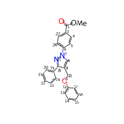 COC(=O)c1ccc(-n2cc(COc3ccccc3)c(-c3ccccc3)n2)cc1